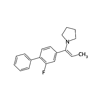 CC=C(c1ccc(-c2ccccc2)c(F)c1)N1CCCC1